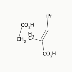 CC(=CC(C)C)C(=O)O.CC(=O)O